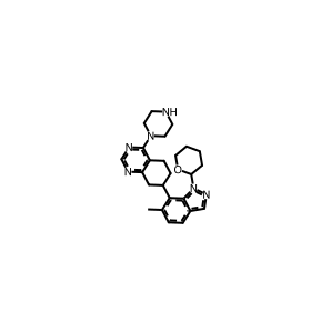 Cc1ccc2cnn(C3CCCCO3)c2c1C1CCc2c(ncnc2N2CCNCC2)C1